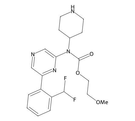 COCCOC(=O)N(c1cncc(-c2ccccc2C(F)F)n1)C1CCNCC1